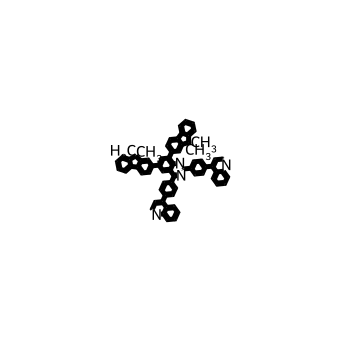 CC1(C)c2ccccc2-c2ccc(-c3cc(-c4ccc5c(c4)C(C)(C)c4ccccc4-5)c4nc(-c5ccc(-c6ccnc7ccccc67)cc5)nc(-c5ccc(-c6ccnc7ccccc67)cc5)c4c3)cc21